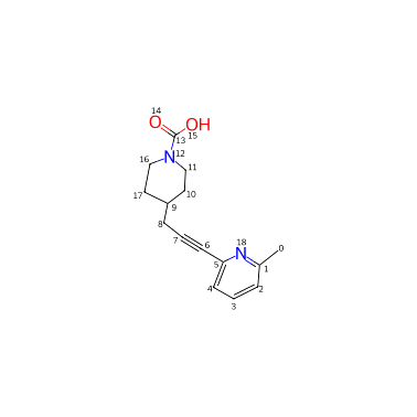 Cc1cccc(C#CCC2CCN(C(=O)O)CC2)n1